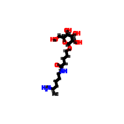 CC(=O)[C@H](N)CCCCNC(=O)CCCCOC1OC(CO)C(O)C(O)C1O